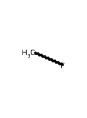 CCCCCCCCCCCCCCCCCCF